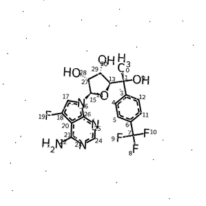 C[C@@](O)(c1ccc(C(F)(F)F)cc1)[C@H]1O[C@@H](n2cc(F)c3c(N)ncnc32)[C@H](O)[C@@H]1O